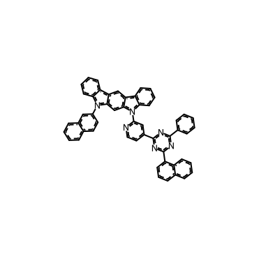 c1ccc(-c2nc(-c3ccnc(-n4c5ccccc5c5cc6c7ccccc7n(-c7ccc8ccccc8c7)c6cc54)c3)nc(-c3cccc4ccccc34)n2)cc1